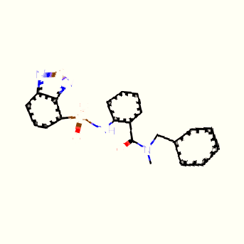 CN(Cc1ccccc1)C(=O)c1ccccc1NS(=O)(=O)c1cccc2nsnc12